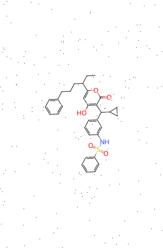 CCC(CCCc1ccccc1)c1cc(O)c(C(c2cccc(NS(=O)(=O)c3ccccc3)c2)C2CC2)c(=O)o1